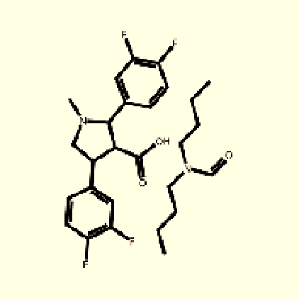 CCCCN(C=O)CCCC.CN1CC(c2ccc(F)c(F)c2)C(C(=O)O)C1c1ccc(F)c(F)c1